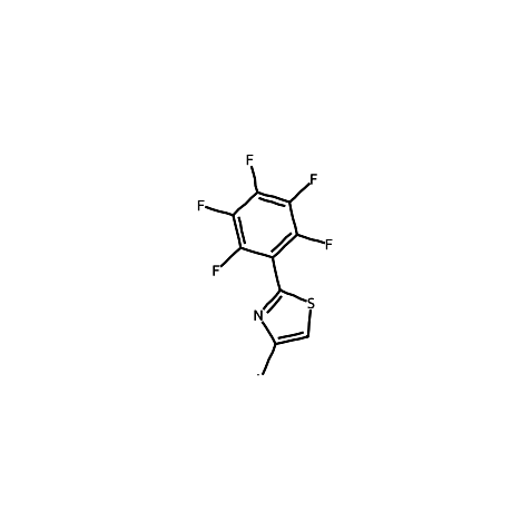 [CH2]c1csc(-c2c(F)c(F)c(F)c(F)c2F)n1